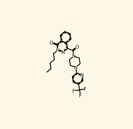 CCCCCn1nc(C(=O)N2CCN(c3ccc(C(F)(F)F)cn3)CC2)c2ccccc2c1=O